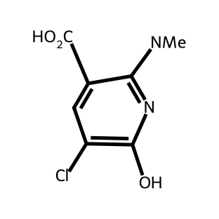 CNc1nc(O)c(Cl)cc1C(=O)O